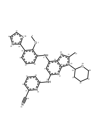 COc1c(Nc2cc(Nc3cccc(C#N)n3)nc3c2nc(C)n3C2CCCCO2)cccc1-c1nccs1